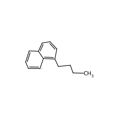 CCCCc1cccc2ccc[c]c12